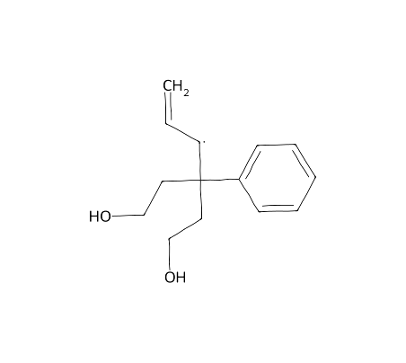 C=C[CH]C(CCO)(CCO)c1ccccc1